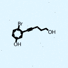 OCCCC#Cc1cc(O)ccc1Br